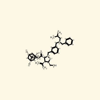 C=C(C)[C@@H]1[C@H](CO)ON(Cc2cccc(CN(Cc3ccccc3)CC(C)C)c2)[C@@H]1C(=O)N[C@@H]1C[C@@H]2C[C@H](C1)C2(C)C